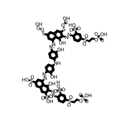 O=S(=O)(O)OCCS(=O)(=O)c1ccc(/N=N/c2c(SOOO)cc3cc(SOOO)cc(/N=N/c4ccc(Nc5ccc(/N=N/c6cc(S(=O)(=O)O)cc7cc(S(=O)(=O)O)c(/N=N/c8ccc(S(=O)(=O)CCOS(=O)(=O)O)cc8S(=O)(=O)O)c(O)c67)c(O)c5)cc4O)c3c2O)c(S(=O)(=O)O)c1